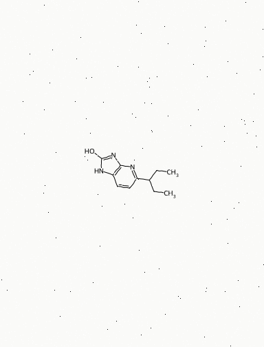 CCC(CC)c1ccc2[nH]c(O)nc2n1